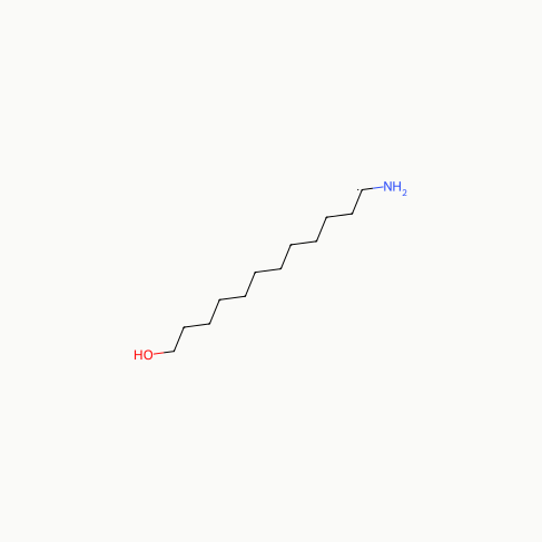 N[CH]CCCCCCCCCCCO